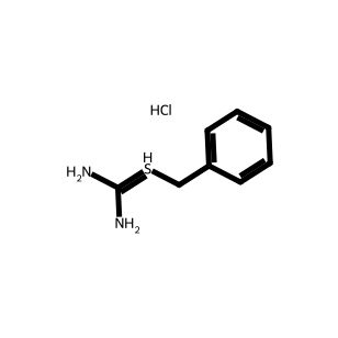 Cl.NC(N)=[SH]Cc1ccccc1